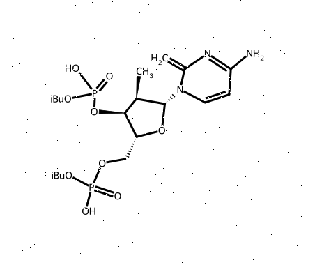 C=C1N=C(N)C=CN1[C@@H]1O[C@H](COP(=O)(O)OCC(C)C)[C@@H](OP(=O)(O)OCC(C)C)[C@H]1C